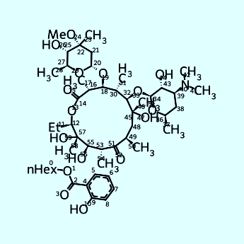 CCCCCCOC(=O)c1ccccc1O.CC[C@H]1OC(=O)[C@H](C)[C@@H](O[C@H]2C[C@@](C)(OC)[C@@H](O)[C@H](C)O2)[C@H](C)[C@@H](O[C@@H]2O[C@H](C)C[C@H](N(C)C)[C@H]2O)[C@](C)(O)C[C@@H](C)C(=O)[C@H](C)[C@@H](O)[C@]1(C)O